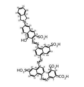 O=C(O)c1cc(/N=N\c2ccc(N=Nc3ccc(N=Nc4c(S(=O)(=O)O)cc5cc(N6Cc7ccccc7C6)ccc5c4O)c4cc(S(=O)(=O)O)ccc34)c3cc(S(=O)(=O)O)ccc23)cc(C(=O)O)c1